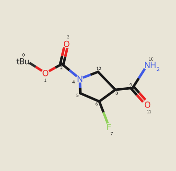 CC(C)(C)OC(=O)N1CC(F)C(C(N)=O)C1